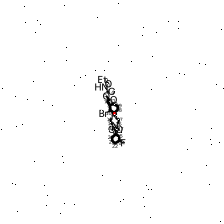 CCONC(=O)Oc1cc2c(Br)c(N3CCN(S(=O)(=O)c4cccc(F)c4)CC3)ccc2o1